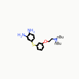 CCCCN(CCCC)CCOc1cccc(Sc2ccc(N)c(N)c2)c1